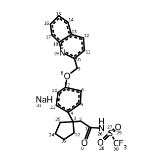 O=C(CC1(c2ccc(OCc3ccc4ccccc4n3)cc2)CCCC1)NS(=O)(=O)C(F)(F)F.[NaH]